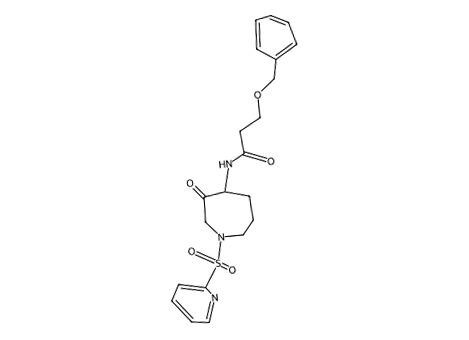 O=C(CCOCc1ccccc1)NC1CCCN(S(=O)(=O)c2ccccn2)CC1=O